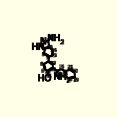 Nc1n[nH]c2cc(-c3ccc(O)c(C(N)Cc4ccccc4)c3)ccc12